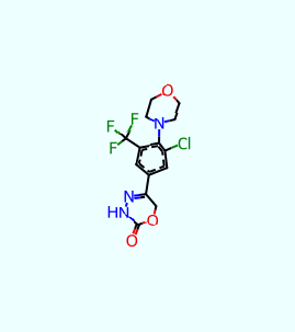 O=C1NN=C(c2cc(Cl)c(N3CCOCC3)c(C(F)(F)F)c2)CO1